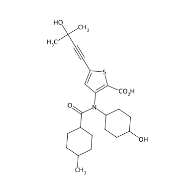 CC1CCC(C(=O)N(c2cc(C#CC(C)(C)O)sc2C(=O)O)C2CCC(O)CC2)CC1